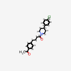 CC(=O)c1ccc(CCCC(=O)N2CCC(c3ccc(Cl)cc3)CC2)cc1